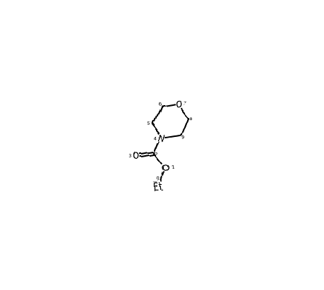 [CH2]COC(=O)N1CCOCC1